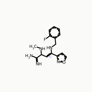 CNC(/C=C(\NCc1ccccc1F)c1ccon1)C(=N)N